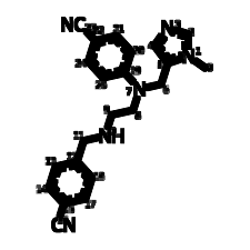 Cn1cncc1CN(CCNCc1ccc(C#N)cc1)c1ccc(C#N)cc1